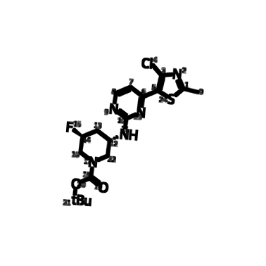 Cc1nc(Cl)c(-c2ccnc(N[C@H]3C[C@H](F)CN(C(=O)OC(C)(C)C)C3)n2)s1